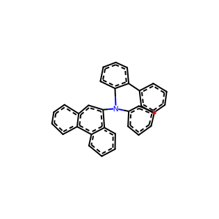 c1ccc(-c2ccccc2N(c2ccccc2)c2cc3ccccc3c3ccccc23)cc1